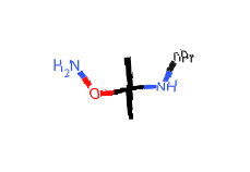 CCCNC(C)(C)ON